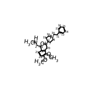 CNC[C@H]1O[C@@H](C2CCN(CCc3ccccc3)CC2)Cc2c1ccc(OC)c2OC